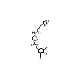 N#Cc1cc(COC(=O)N2CCC(NC(=O)CCCc3c[nH]nn3)CC2)cc(Cl)c1Cl